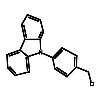 ClCc1ccc(-n2c3ccccc3c3ccccc32)cc1